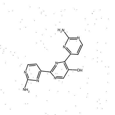 Nc1nccc(-c2ncc(O)c(-c3ccnc(N)n3)n2)n1